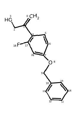 C=C(CO)c1ccc(OCc2ccccc2)cc1F